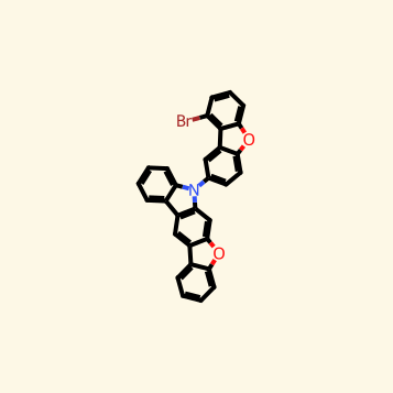 Brc1cccc2oc3ccc(-n4c5ccccc5c5cc6c(cc54)oc4ccccc46)cc3c12